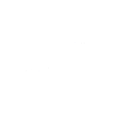 CC(C)(/C=C/C(=O)O)CCCCC(C)(C)/C=C/C(=O)O